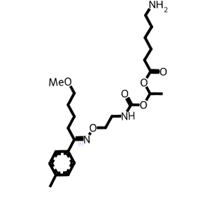 COCCCC/C(=N\OCCNC(=O)OC(C)OC(=O)CCCCCN)c1ccc(C)cc1